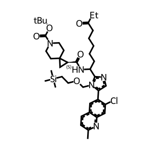 CCC(=O)CCCCCC(NC(=O)[C@H]1CC12CCN(C(=O)OC(C)(C)C)CC2)c1ncc(-c2cc3ccc(C)nc3cc2Cl)n1COCC[Si](C)(C)C